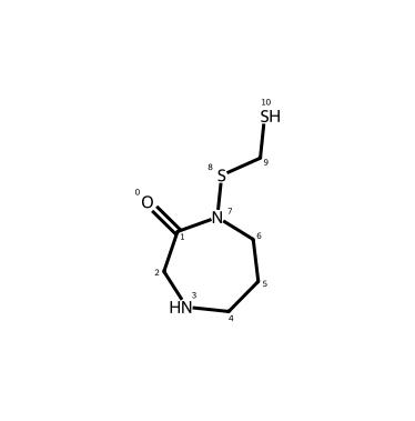 O=C1CNCCCN1SCS